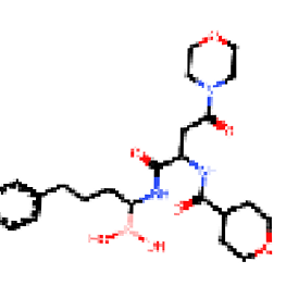 O=C(NC(CC(=O)N1CCOCC1)C(=O)NC(CCCc1ccccc1)B(O)O)C1CCOCC1